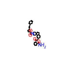 NC(=O)c1ccccc1C(=O)Cc1ccc2c(c1)C1(CC2)CCN(C(=O)c2ccc(C#Cc3ccccc3)o2)CC1